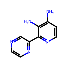 Nc1ccnc(-c2cnccn2)c1N